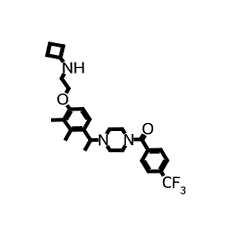 Cc1c(OCCNC2CCC2)ccc(C(C)N2CCN(C(=O)c3ccc(C(F)(F)F)cc3)CC2)c1C